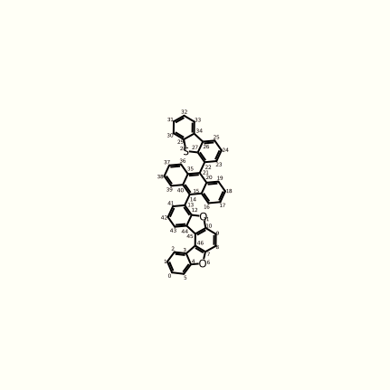 c1ccc2c(c1)oc1ccc3oc4c(-c5c6ccccc6c(-c6cccc7c6sc6ccccc67)c6ccccc56)cccc4c3c12